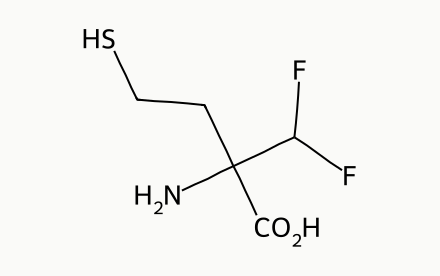 NC(CCS)(C(=O)O)C(F)F